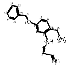 N=C/C=C\Nc1cc(OCc2ccccc2)ccc1CN